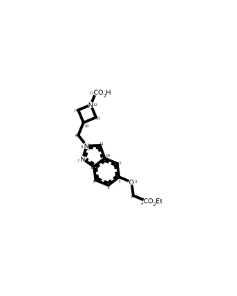 CCOC(=O)COc1ccc2nn(CC3CN(C(=O)O)C3)cc2c1